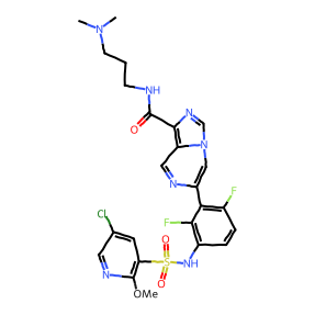 COc1ncc(Cl)cc1S(=O)(=O)Nc1ccc(F)c(-c2cn3cnc(C(=O)NCCCN(C)C)c3cn2)c1F